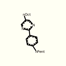 CCC[CH]Cc1ccc(-c2ncc(CCCCCCCC)cn2)cc1